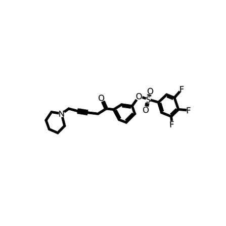 O=C(CC#CCN1CCCCC1)c1cccc(OS(=O)(=O)c2cc(F)c(F)c(F)c2)c1